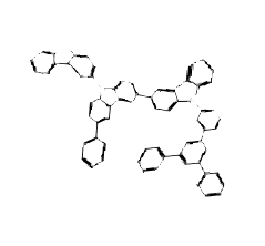 c1ccc(-c2cc(-c3ccccc3)cc(-c3cccc(-n4c5ccccc5c5cc(-c6ccc7c(c6)c6cc(-c8ccccc8)ccc6n7-c6ccc7oc8ccccc8c7c6)ccc54)c3)c2)cc1